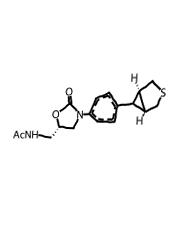 CC(=O)NC[C@H]1CN(c2ccc(C3[C@H]4CSC[C@@H]34)cc2)C(=O)O1